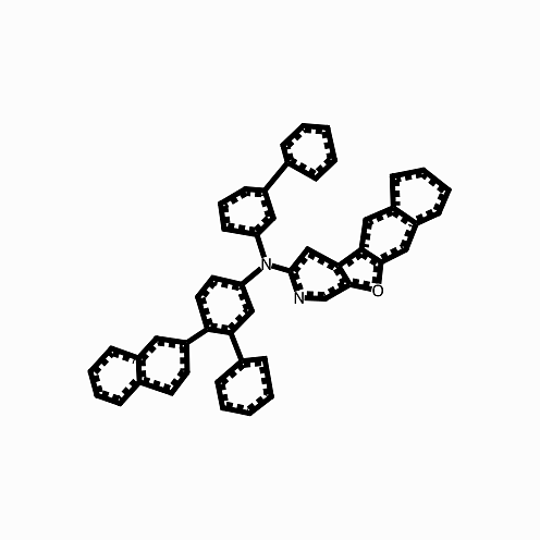 c1ccc(-c2cccc(N(c3ccc(-c4ccc5ccccc5c4)c(-c4ccccc4)c3)c3cc4c(cn3)oc3cc5ccccc5cc34)c2)cc1